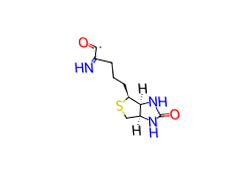 N=C([C]=O)CCC[C@@H]1SC[C@@H]2NC(=O)N[C@@H]21